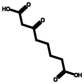 O=C(O)CCCCC(=O)CC(=O)O